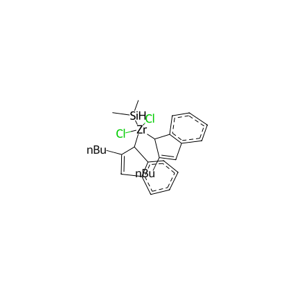 CCCCC1=Cc2ccccc2[CH]1[Zr]([Cl])([Cl])([CH]1C(CCCC)=Cc2ccccc21)[SiH](C)C